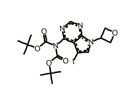 CC(C)(C)OC(=O)N(C(=O)OC(C)(C)C)c1ncnc2c1c(I)cn2C1COC1